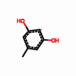 Cc1cc(O)[c]c(O)c1